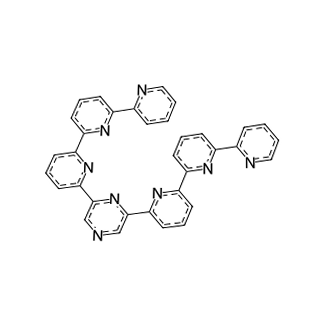 c1ccc(-c2cccc(-c3cccc(-c4cncc(-c5cccc(-c6cccc(-c7ccccn7)n6)n5)n4)n3)n2)nc1